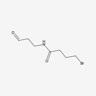 O=[C]CCNC(=O)CCCBr